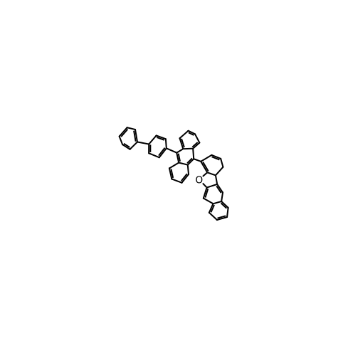 C1=CC(c2c3ccccc3c(-c3ccc(-c4ccccc4)cc3)c3ccccc23)=C2Oc3cc4ccccc4cc3C2C1